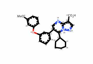 COc1cccc(Oc2cccc(-c3cnc4c(C(=O)O)cnn4c3C3CCCCC3)c2)c1